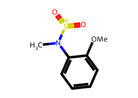 COc1ccccc1N(C)[SH](=O)=O